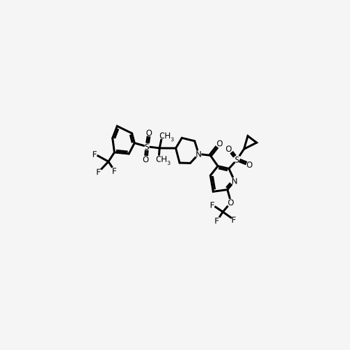 CC(C)(C1CCN(C(=O)c2ccc(OC(F)(F)F)nc2S(=O)(=O)C2CC2)CC1)S(=O)(=O)c1cccc(C(F)(F)F)c1